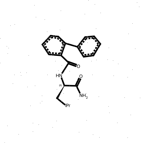 CC(C)C[C@@H](NC(=O)c1ccccc1-c1ccccc1)C(N)=O